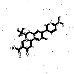 Cc1cc2c(cc1-c1ccc(N(C)C)nc1)CC(C(C)(C)C)n1cc(C(=O)O)c(=O)cc1-2